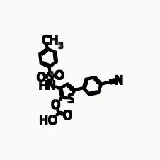 Cc1ccc(S(=O)(=O)Nc2cc(-c3ccc(C#N)cc3)sc2OC(=O)O)cc1